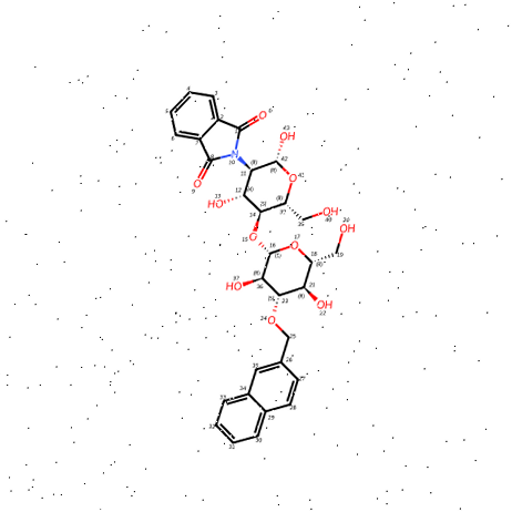 O=C1c2ccccc2C(=O)N1[C@@H]1[C@@H](O)[C@H](O[C@@H]2O[C@H](CO)[C@@H](O)[C@H](OCc3ccc4ccccc4c3)[C@H]2O)[C@@H](CO)O[C@H]1O